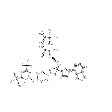 CC(C)(F)c1cc(O[C@H]2CC[C@@H](N3CC(CC#N)(n4cc(-c5ncnc6[nH]ccc56)cn4)C3)CC2)nc(C(F)(F)F)n1.O=C(O)C(F)(F)F.O=C(O)C(F)(F)F